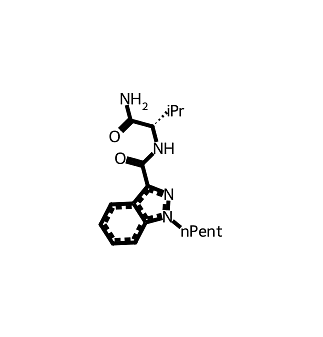 CCCCCn1nc(C(=O)N[C@H](C(N)=O)C(C)C)c2ccccc21